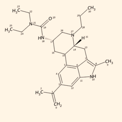 C=C(C)c1cc2c3c(c(C)[nH]c3c1)C[C@@H]1C2C[C@H](NC(=O)N(CC)CC)CN1CCC